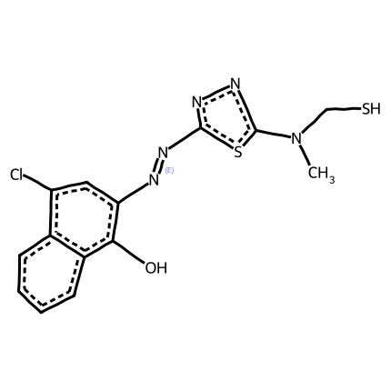 CN(CS)c1nnc(/N=N/c2cc(Cl)c3ccccc3c2O)s1